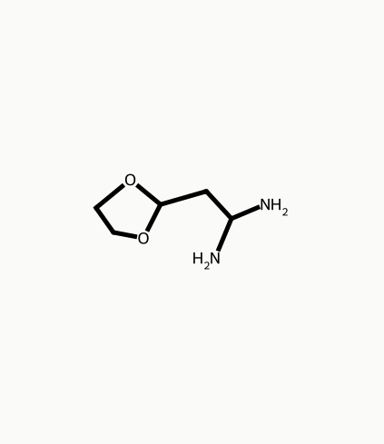 NC(N)CC1OCCO1